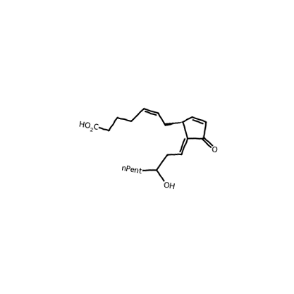 CCCCCC(O)C/C=C1/C(=O)C=C[C@@H]1C/C=C\CCCC(=O)O